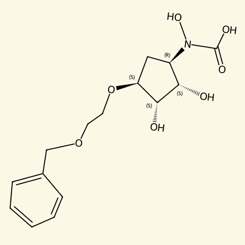 O=C(O)N(O)[C@@H]1C[C@H](OCCOCc2ccccc2)[C@@H](O)[C@H]1O